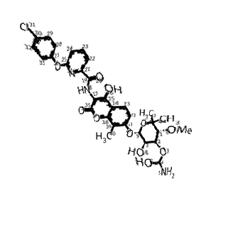 CO[C@@H]1[C@@H](OC(N)O)[C@@H](O)[C@H](Oc2ccc3c(O)c(NC(=O)c4cccc(Oc5ccc(Cl)cc5)n4)c(=O)oc3c2C)OC1(C)C